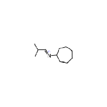 CC(C)/C=N/C1CCCCCC1